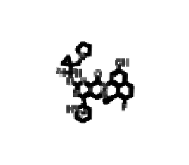 [2H]C([2H])(Oc1nc(N2CC3CCC2CN3)c2cnn(-c3cc(O)cc4ccc(F)c(C#C)c34)c(=O)c2n1)C1(CN2CCCC2)CC1